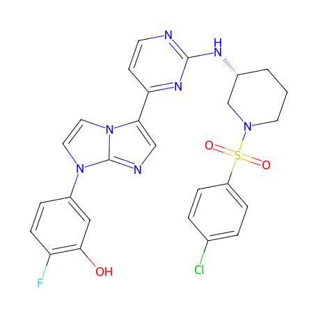 O=S(=O)(c1ccc(Cl)cc1)N1CCC[C@@H](Nc2nccc(-c3cnc4n(-c5ccc(F)c(O)c5)ccn34)n2)C1